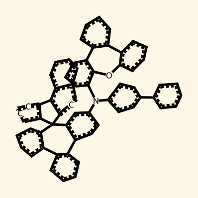 c1ccc(-c2ccc(N(c3ccc4c(c3)C3(c5ccccc5-c5ccccc5-4)c4ccccc4-c4c3ccc3ccccc43)c3cccc4c3Oc3ccccc3-c3ccccc3-4)cc2)cc1